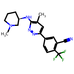 Cc1cc(-c2ccc(C(F)(F)F)c(C#N)c2)nnc1N[C@@H]1CCCN(C)C1